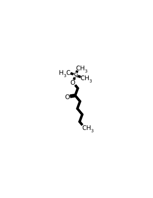 CCCCCC(=O)CO[Si](C)(C)C